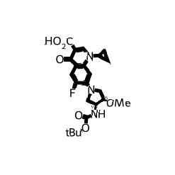 CO[C@@H]1CN(c2cc3c(cc2F)c(=O)c(C(=O)O)cn3C2CC2)C[C@@H]1NC(=O)OC(C)(C)C